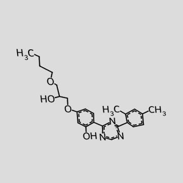 CCCCOCC(O)COc1ccc(-c2ncnc(-c3ccc(C)cc3C)n2)c(O)c1